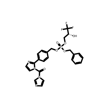 O=C(n1ccnc1)n1ccnc1-c1ccc(COP(=O)(OCc2ccccc2)OC[C@@H](O)C(F)(F)F)cc1